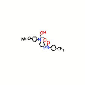 COc1ccc(N2c3cccc(C(=O)Nc4ccc(C(F)(F)F)cc4)c3OC[C@@H]2CO)cc1